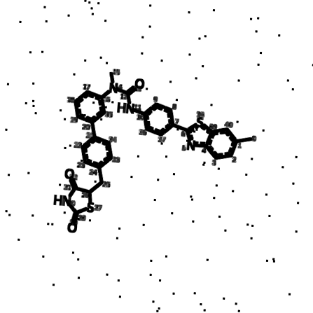 Cc1ccc2nc(-c3ccc(NC(=O)N(C)c4cccc(-c5ccc(CC6SC(=O)NC6=O)cc5)c4)cc3)sc2c1